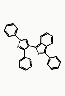 c1ccc(-c2nn(-c3ccccc3)cc2-c2sc(-c3ccccc3)c3ccccc23)cc1